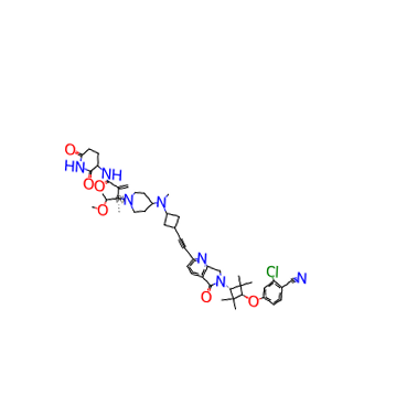 C=C(C(=O)NC1CCC(=O)NC1=O)[C@](C)(C(C)OC)N1CCC(N(C)C2CC(C#Cc3ccc4c(n3)CN([C@H]3C(C)(C)[C@H](Oc5ccc(C#N)c(Cl)c5)C3(C)C)C4=O)C2)CC1